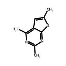 Cc1nc(C)c2cc(C)sc2n1